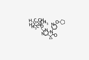 CC(C)(C)[Si](C)(C)OCc1ncc2c(n1)N(c1ccc(OC3CCCC3)nc1)C(=O)C21CC1